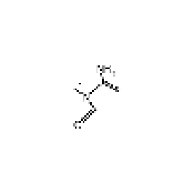 C=C(N)N(C)C=O